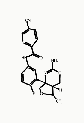 N#Cc1ccc(C(=O)Nc2ccc(F)c([C@]34CO[C@H](C(F)(F)F)[C@H]3COC(N)=N4)c2)nc1